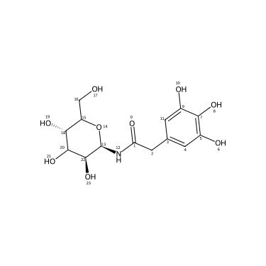 O=C(Cc1cc(O)c(O)c(O)c1)N[C@@H]1OC(CO)[C@@H](O)C(O)[C@@H]1O